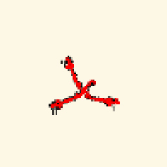 CC(C)(C)OC(=O)N[C@H]1[C@H]2OC[C@](COCCOCCOCCOCCn3cc(COCC(COCc4cn(CCOCCOCCOCCOC[C@@]56CO[C@@H](O5)[C@H](NC(=O)OC(C)(C)C)[C@H]5OC(C)(C)O[C@H]56)nn4)(COCc4cn(CCOCCOCCOCCOC[C@@]56CO[C@@H](O5)[C@H](NC(=O)OC(C)(C)C)[C@H]5OC(C)(C)O[C@H]56)nn4)NC(=O)CCCOCc4ccccc4)nn3)(O2)[C@@H]2OC(C)(C)O[C@H]12